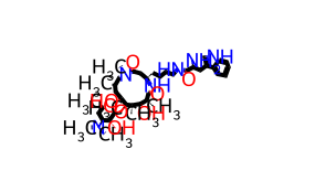 C[C@H]1CN(C)C(=O)C[C@H](CCCCNC(=O)[C@@H](N)Cc2c[nH]c3ccccc23)NC(=O)[C@H](C)[C@@H](O)[C@H](C)[C@@H](O[C@@H]2O[C@H](C)C[C@H](N(C)C)[C@H]2O)[C@](C)(O)C1